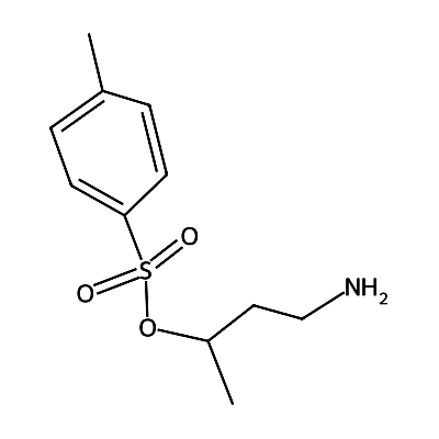 Cc1ccc(S(=O)(=O)OC(C)CCN)cc1